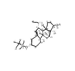 CC[C@H]1C=C2C[C@@H](O[Si](C)(C)C(C)(C)C)CC[C@]2(C)[C@H]2CC[C@]3(C)C(O)CC[C@H]3[C@H]12